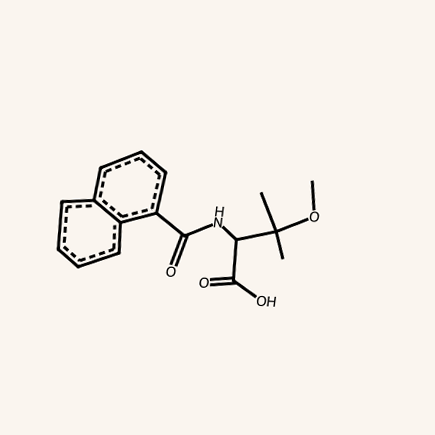 COC(C)(C)C(NC(=O)c1cccc2ccccc12)C(=O)O